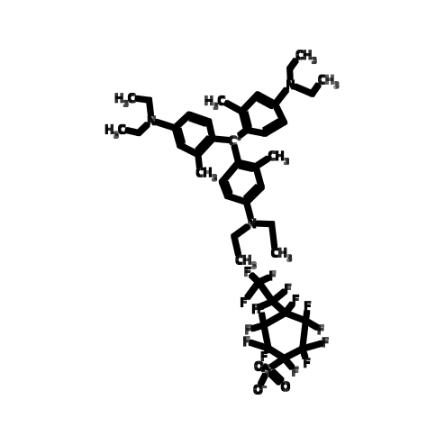 CCN(CC)c1ccc([C+](c2ccc(N(CC)CC)cc2C)c2ccc(N(CC)CC)cc2C)c(C)c1.O=S(=O)([O-])C1(F)C(F)(F)C(F)(F)C(F)(C(F)(F)C(F)(F)F)C(F)(F)C1(F)F